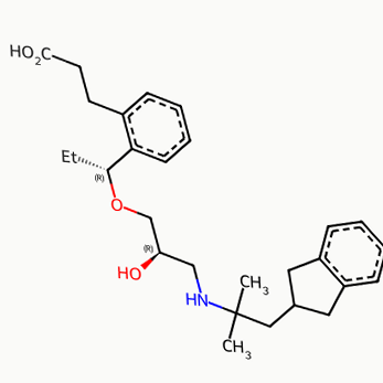 CC[C@@H](OC[C@H](O)CNC(C)(C)CC1Cc2ccccc2C1)c1ccccc1CCC(=O)O